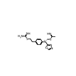 CC(=N)SC[C@@H](c1ccc(CCSC(=N)N)cc1)c1nnco1